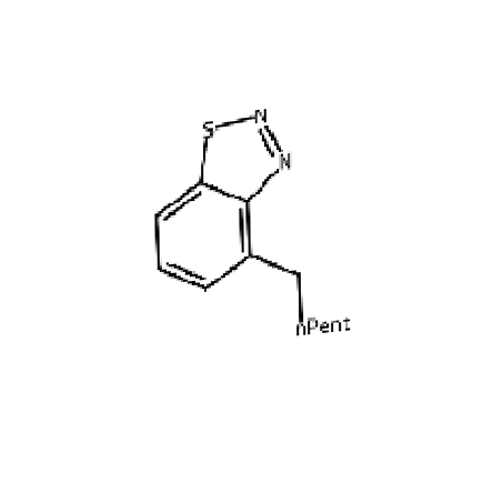 CCCCCCc1cccc2snnc12